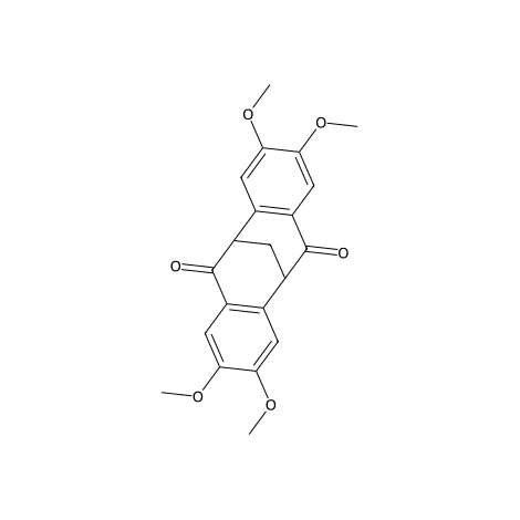 COc1cc2c(cc1OC)C1CC(C2=O)c2cc(OC)c(OC)cc2C1=O